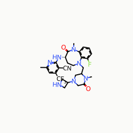 Cc1cc(C(F)(F)F)c(C#N)c(N[C@H]2CCN(CC3CN(C4CNC4)CC(=O)N3C)c3c(F)cccc3N(C)C2=O)n1